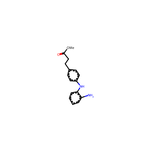 COC(=O)CCc1ccc(Nc2ccccc2N)cc1